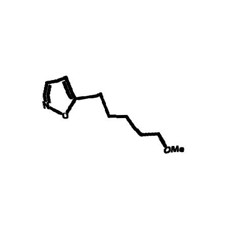 COCCCCCc1ccno1